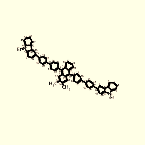 CCn1c2ccccc2c2cc(-c3ccc(-c4ccc(-c5c6ccccc6c(-c6ccc(-c7ccc(-c8ccc9c(c8)c8ccccc8n9CC)cc7)cc6)c6cc(C)c(C)cc56)cc4)cc3)ccc21